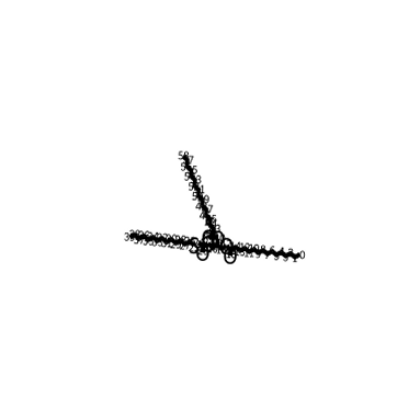 CCCCCCCCCCCCCCCC(=O)OCC(COC(=O)CSCCCCCCCCCCCCCC)OC(=O)CSCCCCCCCCCCCCCC